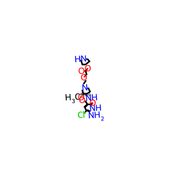 CO[C@@H]1CN(CCOCC(=O)OC2CCNCC2)CC[C@@H]1NC(=O)c1cc(Cl)c(N)[nH]c1=O